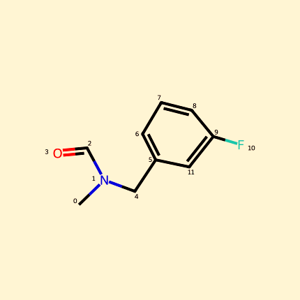 CN(C=O)Cc1cccc(F)c1